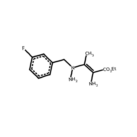 CCOC(=O)/C(N)=C(\C)N(N)Cc1cccc(F)c1